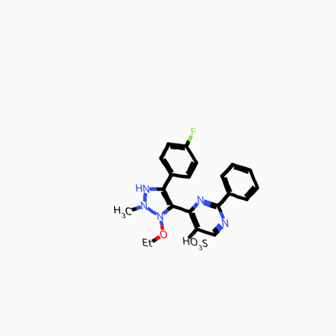 CCON1C(c2nc(-c3ccccc3)ncc2S(=O)(=O)O)=C(c2ccc(F)cc2)NN1C